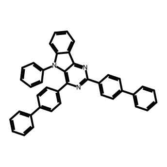 c1ccc(-c2ccc(-c3nc(-c4ccc(-c5ccccc5)cc4)c4c(n3)c3ccccc3n4-c3ccccc3)cc2)cc1